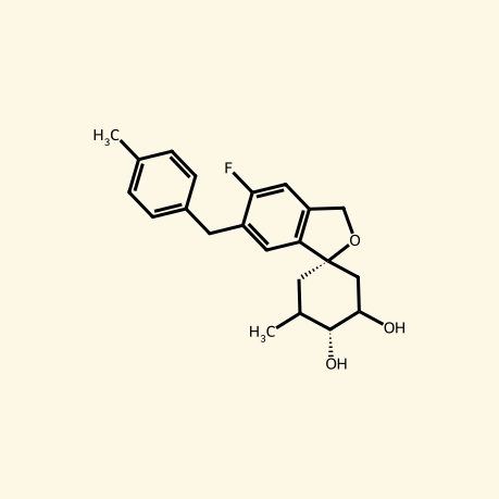 Cc1ccc(Cc2cc3c(cc2F)CO[C@]32CC(C)[C@@H](O)C(O)C2)cc1